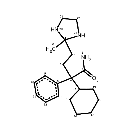 CC1(CCC(C(N)=O)(c2ccccc2)C2CCCCC2)NCCN1